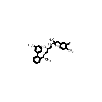 Cc1cccc(-c2ccccc2[C@@H](C)OC[C@H](O)CNC(C)(C)Cc2ccc(C)c(F)c2)c1